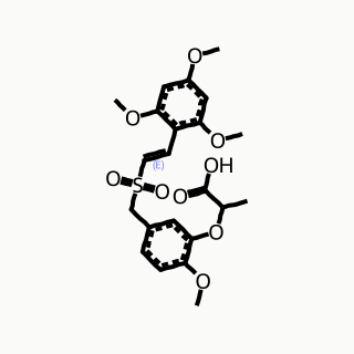 COc1cc(OC)c(/C=C/S(=O)(=O)Cc2ccc(OC)c(OC(C)C(=O)O)c2)c(OC)c1